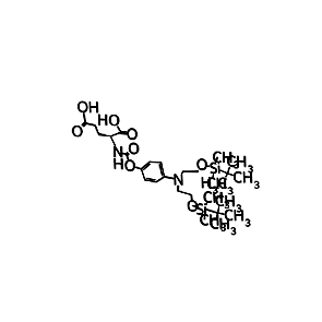 CC(C)(C)[Si](C)(C)OCCN(CCO[Si](C)(C)C(C)(C)C)c1ccc(OC(=O)N[C@@H](CCC(=O)O)C(=O)O)cc1